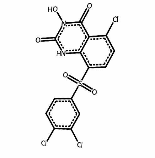 O=c1[nH]c2c(S(=O)(=O)c3ccc(Cl)c(Cl)c3)ccc(Cl)c2c(=O)n1O